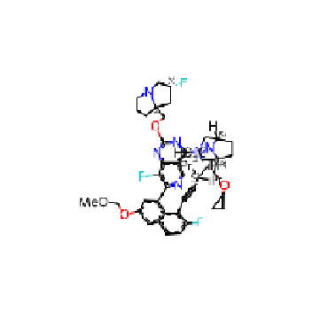 COCOc1cc(-c2ncc3c(N4C[C@@H]5CC[C@](COC6CC6)(C4)N5C(=O)O)nc(OC[C@@]45CCCN4C[C@H](F)C5)nc3c2F)c2c(C#C[Si](C(C)C)(C(C)C)C(C)C)c(F)ccc2c1